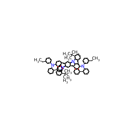 CCc1cccc(N(c2ccccc2-c2ccccc2)c2ccc3c4cc5c(cc4n4c6c(C(C)(C)C)cccc6c2c34)c2ccc(N(c3cccc(CC)c3)c3ccccc3-c3ccccc3)c3c4cccc(C(C)(C)C)c4n5c23)c1